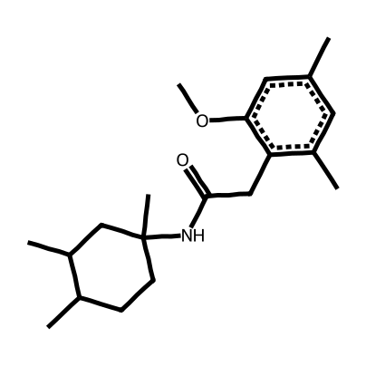 COc1cc(C)cc(C)c1CC(=O)NC1(C)CCC(C)C(C)C1